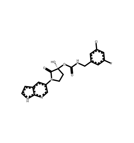 O=C(NCc1cc(F)cc(Cl)c1)O[C@@]1(O)CCN(c2cnc3[nH]ccc3c2)C1=O